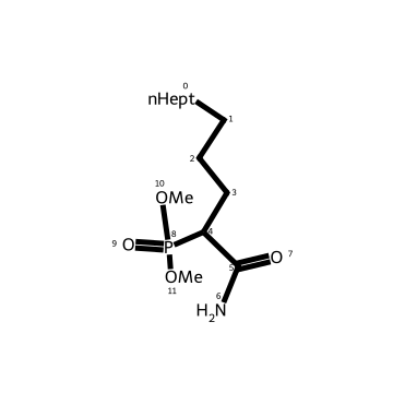 CCCCCCCCCCC(C(N)=O)P(=O)(OC)OC